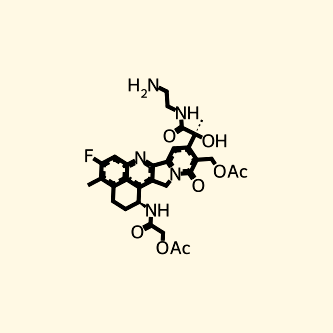 CC(=O)OCC(=O)N[C@H]1CCc2c(C)c(F)cc3nc4c(c1c23)Cn1c-4cc([C@](C)(O)C(=O)NCCN)c(COC(C)=O)c1=O